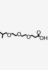 CC(C)COCCOCCOCCC(=O)O